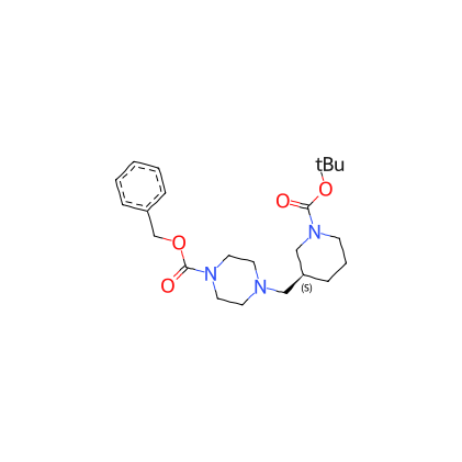 CC(C)(C)OC(=O)N1CCC[C@@H](CN2CCN(C(=O)OCc3ccccc3)CC2)C1